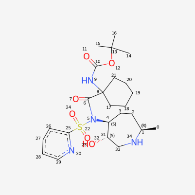 C[C@@H]1CC[C@H](N(C(=O)C2(NC(=O)OC(C)(C)C)CCCCC2)S(=O)(=O)c2ccccn2)[C@@H](O)CN1